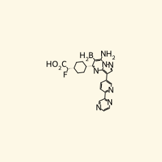 Bc1c(N)n2ncc(-c3ccc(-c4cnccn4)nc3)c2nc1[C@H]1CC[C@@H](C(F)C(=O)O)CC1